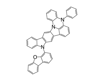 c1ccc(N2c3ccccc3-n3c4cc5c6ccccc6n(-c6cccc7c6oc6ccccc67)c5cc4c4cccc2c43)cc1